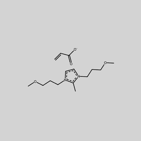 C=CC(=O)[O-].COCCCn1cc[n+](CCCOC)c1C